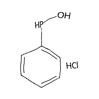 Cl.OPc1ccccc1